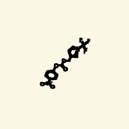 O=C(OCc1ccn(C(F)(F)F)n1)Oc1ccc([N+](=O)[O-])cc1